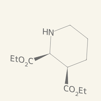 CCOC(=O)[C@H]1NCCC[C@H]1C(=O)OCC